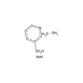 O.O.O=S(=O)(O)c1cccnc1.[NaH]